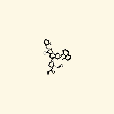 C=CC(=O)N1CCN(c2cc(C(=O)NC[C@H]3CCCN3C)nc3c2CCN(c2cccc4cccc(C)c24)C3)C[C@@H]1CC#N